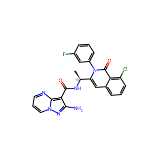 C[C@H](NC(=O)c1c(N)nn2cccnc12)c1cc2cccc(Cl)c2c(=O)n1-c1cccc(F)c1